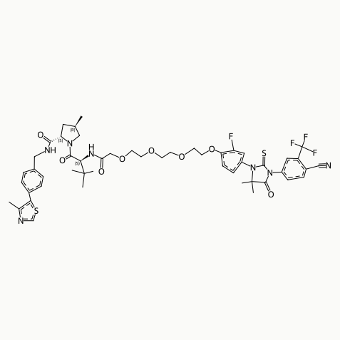 Cc1ncsc1-c1ccc(CNC(=O)[C@@H]2C[C@@H](C)CN2C(=O)[C@@H](NC(=O)COCCOCCOCCOc2ccc(N3C(=S)N(c4ccc(C#N)c(C(F)(F)F)c4)C(=O)C3(C)C)cc2F)C(C)(C)C)cc1